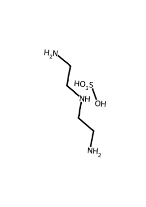 NCCNCCN.O=S(=O)(O)O